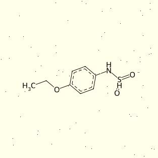 CCOc1ccc(N[SH](=O)=O)cc1